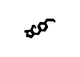 C=Cc1ccc(Cc2[c]n[nH]c2C(F)(F)F)cc1